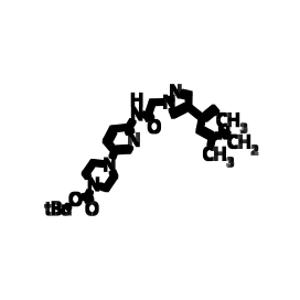 C=N/C(C)=C\C(=C/C)c1cnn(CC(=O)Nc2ccc(N3CCN(C(=O)OC(C)(C)C)CC3)cn2)c1